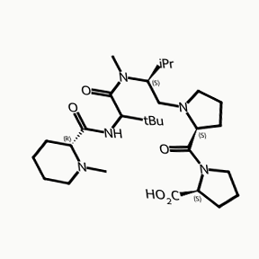 CC(C)[C@@H](CN1CCC[C@H]1C(=O)N1CCC[C@H]1C(=O)O)N(C)C(=O)C(NC(=O)[C@H]1CCCCN1C)C(C)(C)C